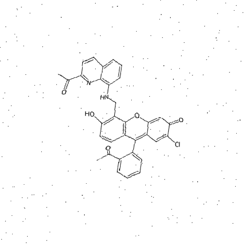 CC(=O)c1ccc2cccc(NCc3c(O)ccc4c(-c5ccccc5C(C)=O)c5cc(Cl)c(=O)cc-5oc34)c2n1